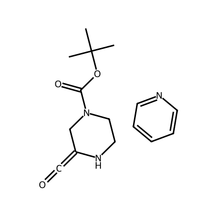 CC(C)(C)OC(=O)N1CCNC(=C=O)C1.c1ccncc1